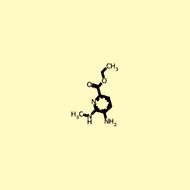 CCOC(=O)c1ccc(N)c(NC)n1